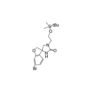 CC(C)(C)[Si](C)(C)OCCN1CC2(COc3cc(Br)ccc32)NC1=O